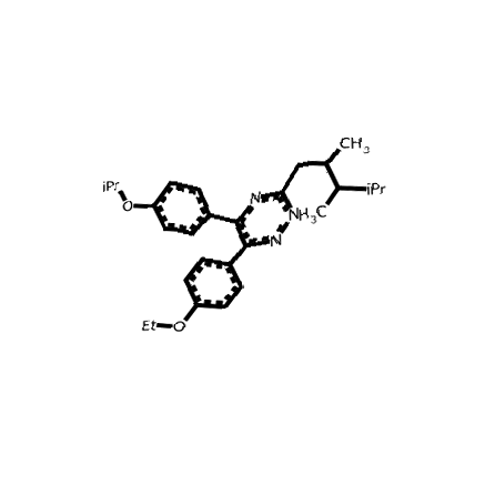 CCOc1ccc(-c2nnc(CC(C)C(C)C(C)C)nc2-c2ccc(OC(C)C)cc2)cc1